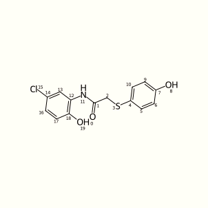 O=C(CSc1ccc(O)cc1)Nc1cc(Cl)ccc1O